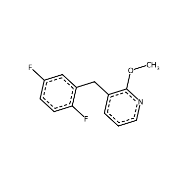 COc1ncccc1Cc1cc(F)ccc1F